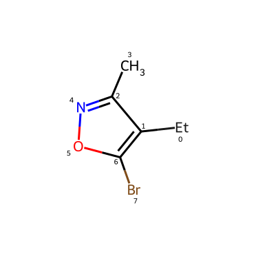 CCc1c(C)noc1Br